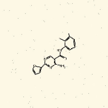 Cc1cccc(NC(=O)c2cnc(-c3ccco3)nc2N)c1C